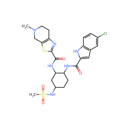 CN1CCc2nc(C(=O)NC3CC(NS(C)(=O)=O)CCC3NC(=O)c3cc4cc(Cl)ccc4[nH]3)sc2C1